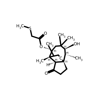 CSCC(=O)O[C@@H]1CC(C)(C)[C@@H](O)[C@H](C)[C@]23CCC(=O)[C@H]2[C@@]1(C)C(C)CC3